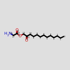 CCCCCCCCCCCC(=O)COC(=O)CN